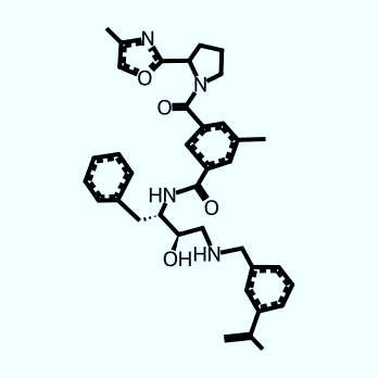 C=C(C)c1cccc(CNC[C@@H](O)[C@H](Cc2ccccc2)NC(=O)c2cc(C)cc(C(=O)N3CCCC3c3nc(C)co3)c2)c1